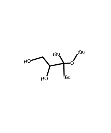 CC(C)(C)OC(C(O)CO)(C(C)(C)C)C(C)(C)C